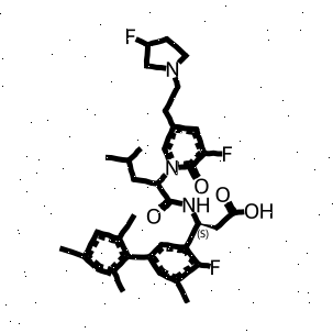 Cc1cc(C)c(-c2cc(C)c(F)c([C@H](CC(=O)O)NC(=O)C(CC(C)C)n3cc(CCN4CCC(F)C4)cc(F)c3=O)c2)c(C)c1